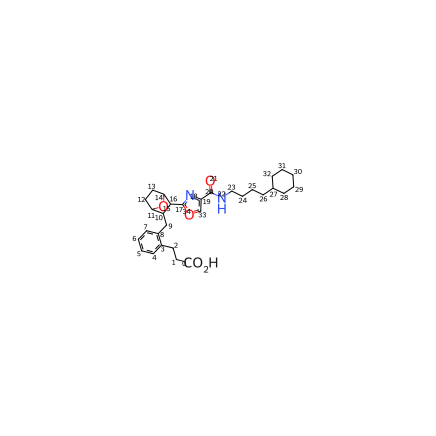 O=C(O)CCc1ccccc1CC1C2CCC(O2)C1c1nc(C(=O)NCCCCC2CCCCC2)co1